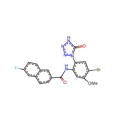 COc1cc(NC(=O)c2ccc3cc(F)ccc3c2)c(-n2nn[nH]c2=O)cc1Br